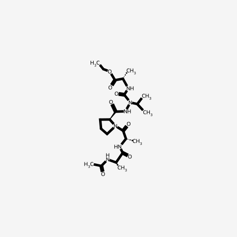 CCOC(=O)[C@H](C)NC(=O)N(NC(=O)[C@@H]1CCCN1C(=O)[C@H](C)NC(=O)[C@H](C)NC(C)=O)C(C)C